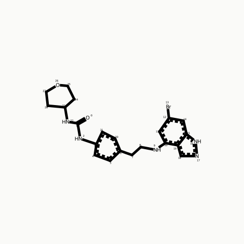 O=C(Nc1ccc(CCNc2cc(Br)cc3[nH]ncc23)cc1)NC1CCOCC1